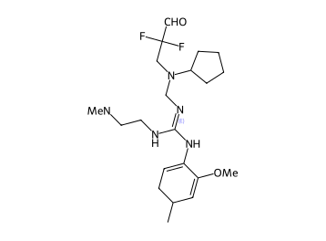 CNCCN/C(=N\CN(CC(F)(F)C=O)C1CCCC1)NC1=CCC(C)C=C1OC